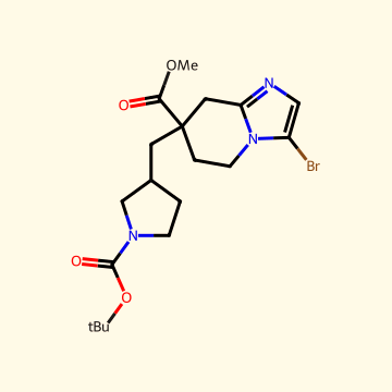 COC(=O)C1(CC2CCN(C(=O)OC(C)(C)C)C2)CCn2c(Br)cnc2C1